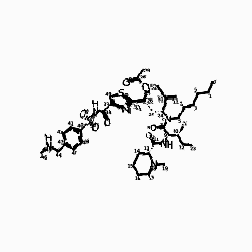 CCCCCCN(C(=O)[C@@H](NC(=O)[C@H]1CCCCN1C)[C@@H](C)CC)[C@H](C[C@@H](OC(C)=O)c1nc(C(=O)NS(=O)(=O)c2ccc(CNC)cc2)cs1)C(C)C